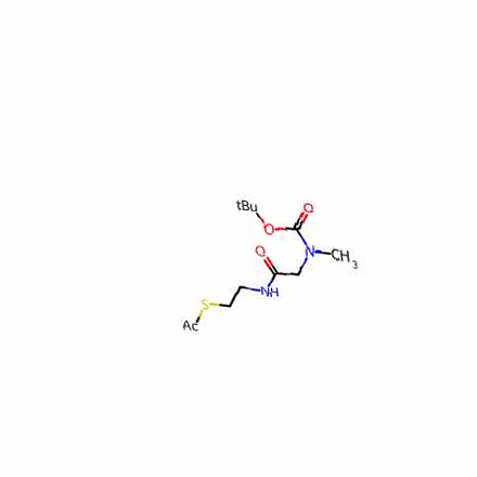 CC(=O)SCCNC(=O)CN(C)C(=O)OC(C)(C)C